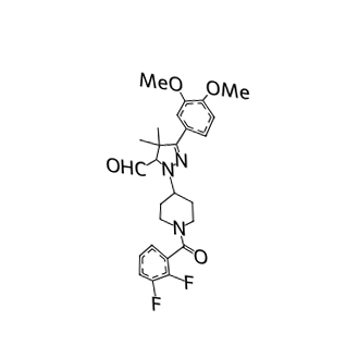 COc1ccc(C2=NN(C3CCN(C(=O)c4cccc(F)c4F)CC3)C(C=O)C2(C)C)cc1OC